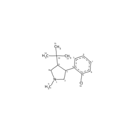 CN1CC(c2ccccc2Cl)C(C(C)(C)C)C1